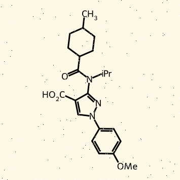 COc1ccc(-n2cc(C(=O)O)c(N(C(=O)C3CCC(C)CC3)C(C)C)n2)cc1